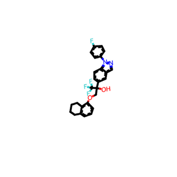 OC(COc1cccc2c1CCCC2)(c1ccc2c(cnn2-c2ccc(F)cc2)c1)C(F)(F)F